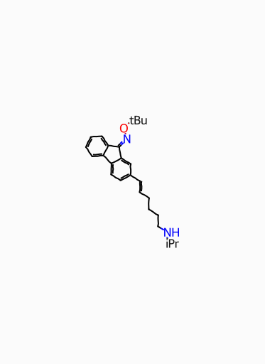 CC(C)NCCCC/C=C/c1ccc2c(c1)/C(=N/OC(C)(C)C)c1ccccc1-2